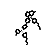 CCCCc1ccc(N(c2ccc(C3C=CC(c4ccccc4)(N(c4ccc(CCCC)cc4)c4cccc(C)c4)C=C3)cc2)c2cccc(C)c2)cc1